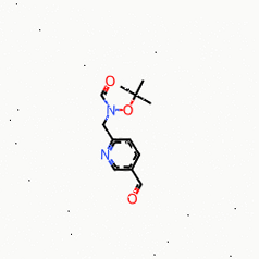 CC(C)(C)ON(C=O)Cc1ccc(C=O)cn1